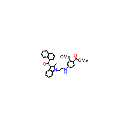 COC(=O)c1ccc(NCCn2c(C)c(C(=O)c3cccc4ccccc34)c3ccccc32)cc1OC